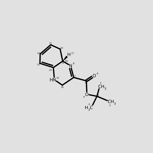 CC(C)(C)OC(=O)C1=N[C@H]2CC=CC=C2NC1